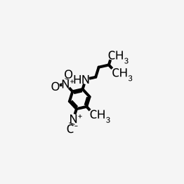 [C-]#[N+]c1cc([N+](=O)[O-])c(NCCC(C)C)cc1C